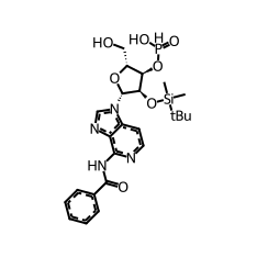 CC(C)(C)[Si](C)(C)O[C@@H]1[C@H](O[PH](=O)O)[C@@H](CO)O[C@H]1n1cnc2c(NC(=O)c3ccccc3)nccc21